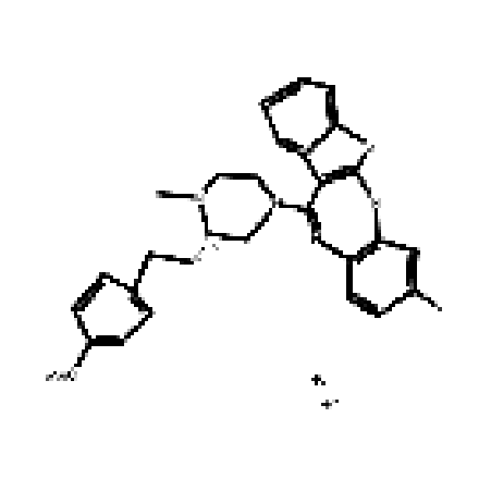 COc1ccc(CC[C@H]2CN(C3=Nc4ccc(F)cc4Nc4sc5ccccc5c43)CCN2C)cc1.Cl.Cl